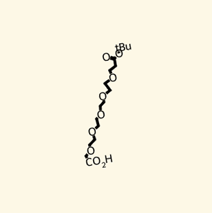 CC(C)(C)OC(=O)CCOCCOCCOCCOCCOCC(=O)O